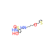 O=c1[nH]c2c(O)ccc(CCNCCCCCCOCCc3cccs3)c2s1